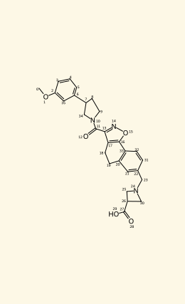 COc1cccc(C2CCN(C(=O)c3noc4c3CCc3cc(CN5CC(C(=O)O)C5)ccc3-4)C2)c1